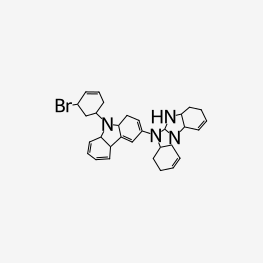 BrC1C=CCC(N2C3CC=C(N4C5CCC=CC5N5C6C=CCCC6NC45)C=C3C3C=CC=CC32)C1